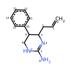 C=CCC1N=C(N)NCC1c1ccccc1